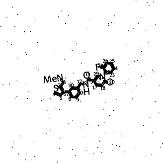 CNCc1sccc1-c1cccc(CNC(=O)c2ccc(=O)n(-c3ccccc3F)c2)c1